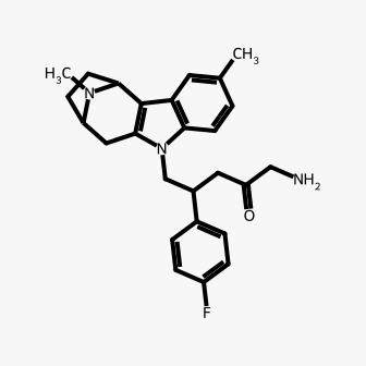 Cc1ccc2c(c1)c1c(n2CC(CC(=O)CN)c2ccc(F)cc2)CC2CCC1N2C